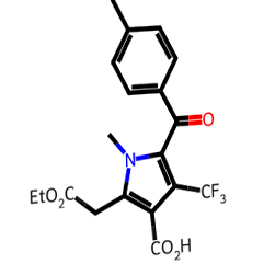 CCOC(=O)Cc1c(C(=O)O)c(C(F)(F)F)c(C(=O)c2ccc(C)cc2)n1C